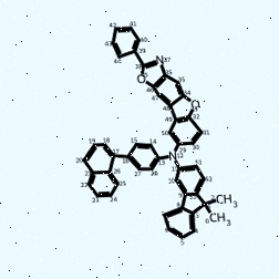 CC1(C)c2ccccc2-c2cc(N(c3ccc(-c4cccc5ccccc45)cc3)c3ccc4oc5cc6nc(-c7ccccc7)oc6cc5c4c3)ccc21